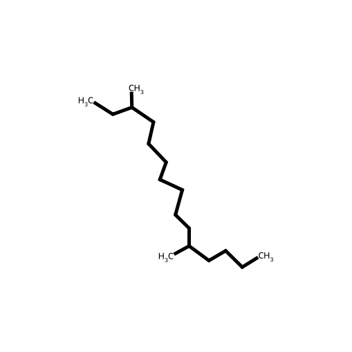 CCCCC(C)CCCCCCCC(C)CC